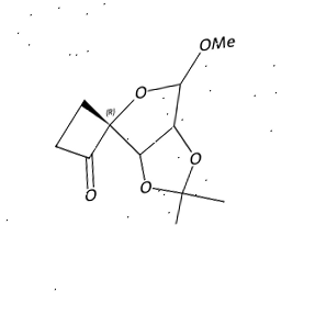 COC1O[C@]2(CCC2=O)C2OC(C)(C)OC12